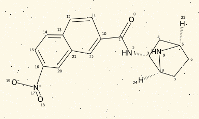 O=C(N[C@@H]1C[C@H]2CC[C@@H]1N2)c1ccc2ccc([N+](=O)[O-])cc2c1